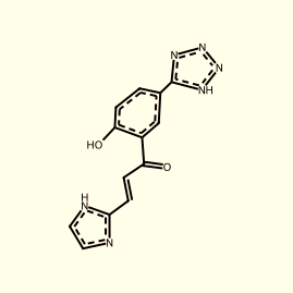 O=C(C=Cc1ncc[nH]1)c1cc(-c2nnn[nH]2)ccc1O